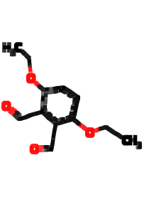 CCOc1ccc(OCC)c(C=O)c1C=O